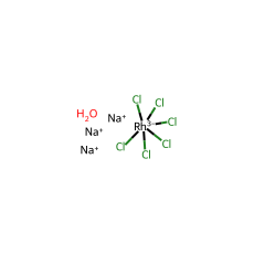 O.[Cl][Rh-3]([Cl])([Cl])([Cl])([Cl])[Cl].[Na+].[Na+].[Na+]